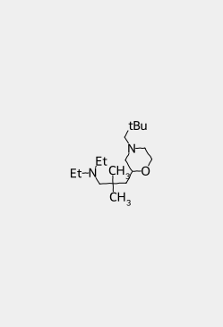 CCN(CC)CC(C)(C)CC1CN(CC(C)(C)C)CCO1